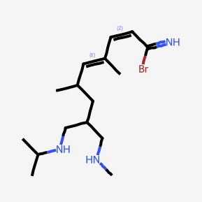 CNCC(CNC(C)C)CC(C)/C=C(C)/C=C\C(=N)Br